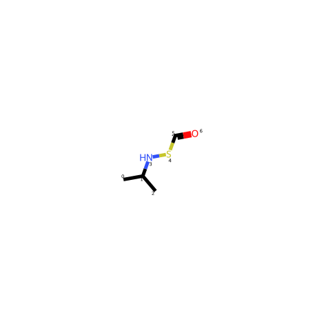 CC(C)NS[C]=O